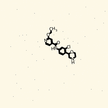 CCOc1cc(C(=O)Nc2ccc(C3CNCCO3)c(Cl)c2)ccn1